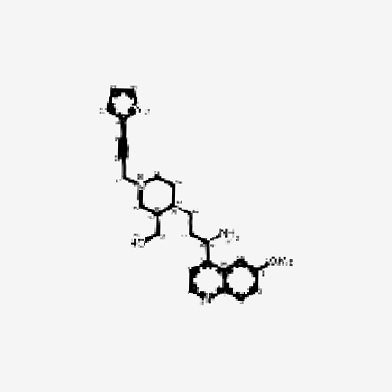 COc1ccc2nccc([C@H](N)CC[C@@H]3CCN(CC#Cc4cccs4)C[C@@H]3CO)c2c1